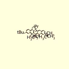 Cc1c2c(c(CC(C)C)c3ccc(CC(C)(C)C)cc13)Sc1cc3ccc([Si](C)(C)C)cc3c3cc[n+](C)c-2c13